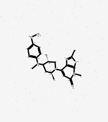 Cc1nc2c(N3C[C@@H](C)C(N(C)c4ccc(OC(F)(F)F)cc4)C[C@@H]3C)cc(=O)n(C)c2s1